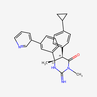 CN1C(=N)N[C@](C)(c2cccc(-c3cccnc3)c2)[C@@H](c2ccc(C3CC3)cc2)C1=O